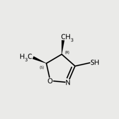 C[C@@H]1ON=C(S)[C@@H]1C